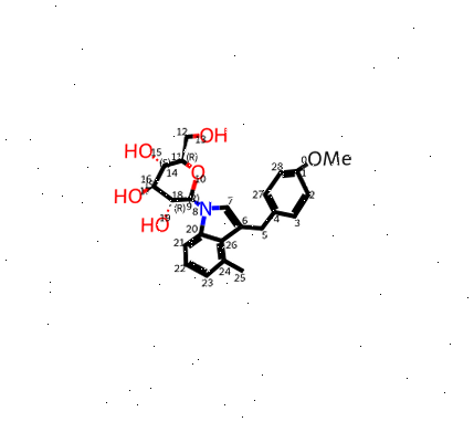 COc1ccc(Cc2cn([C@@H]3O[C@H](CO)[C@@H](O)[C@H](O)[C@H]3O)c3cccc(C)c23)cc1